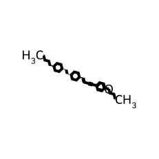 CCCCC[C@H]1CC[C@H](CC[C@H]2CC[C@H](C=CC#Cc3ccc(OCCCC)cc3)CC2)CC1